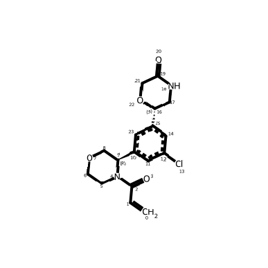 C=CC(=O)N1CCOC[C@H]1c1cc(Cl)cc([C@H]2CNC(=O)CO2)c1